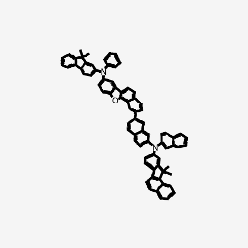 CC1(C)c2ccccc2-c2ccc(N(c3ccccc3)c3ccc4oc5c6cc(-c7ccc8ccc(N(c9ccc%10c(c9)C(C)(C)c9c-%10ccc%10ccccc9%10)c9ccc%10ccccc%10c9)cc8c7)ccc6ccc5c4c3)cc21